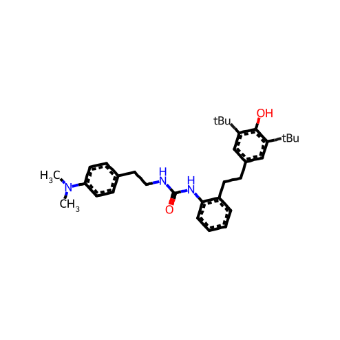 CN(C)c1ccc(CCNC(=O)Nc2ccccc2CCc2cc(C(C)(C)C)c(O)c(C(C)(C)C)c2)cc1